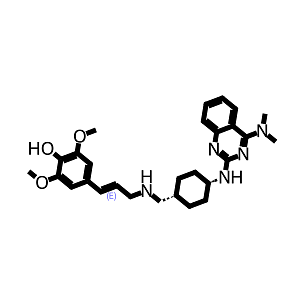 COc1cc(/C=C/CNC[C@H]2CC[C@@H](Nc3nc(N(C)C)c4ccccc4n3)CC2)cc(OC)c1O